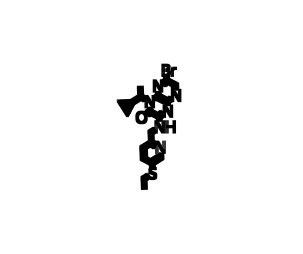 CCSc1ccc(CNc2nc3ncc(Br)nc3n(C(C)C3CC3)c2=O)nc1